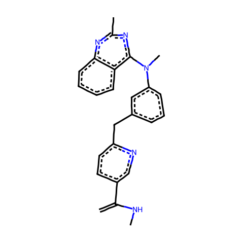 C=C(NC)c1ccc(Cc2cccc(N(C)c3nc(C)nc4ccccc34)c2)nc1